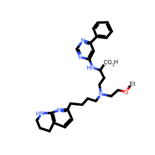 CCOCCN(CCCCc1ccc2c(n1)NCCC2)CCC(Nc1cc(-c2ccccc2)ncn1)C(=O)O